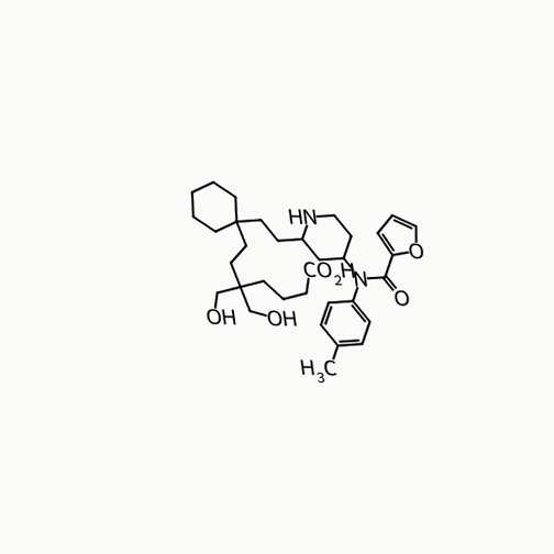 Cc1ccc(N(C(=O)c2ccco2)C2CCNC(CCC3(CCC(CO)(CO)CCCC(=O)O)CCCCC3)C2)cc1